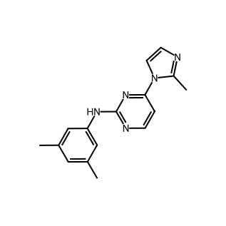 Cc1cc(C)cc(Nc2nccc(-n3ccnc3C)n2)c1